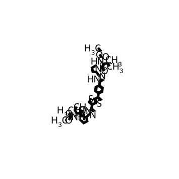 CCOC(=O)N[C@H](C(=O)N1CCCC1c1ncc(-c2ccc(-c3csc4c(-c5cnc(C6CCCN6C(=O)[C@@H](NC(=O)OC)C(C)C)[nH]5)csc34)cc2)[nH]1)C(C)C